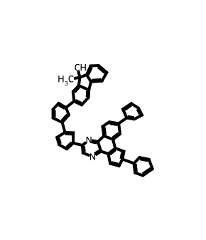 CC1(C)c2ccccc2-c2ccc(-c3cccc(-c4cccc(-c5cnc6c7ccc(-c8ccccc8)cc7c7cc(-c8ccccc8)ccc7c6n5)c4)c3)cc21